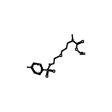 Cc1ccc(S(=O)(=O)SCCOCCCN(C)C(=O)OC(C)(C)C)cc1